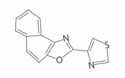 c1ccc2c(c1)ccc1oc(-c3cscn3)nc12